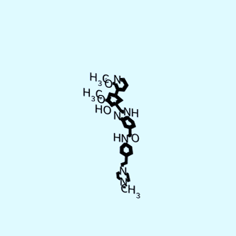 COc1cc(-c2cccnc2OC)cc(-c2nc3cc(C(=O)Nc4ccc(CCN5CCN(C)CC5)cc4)ccc3[nH]2)c1O